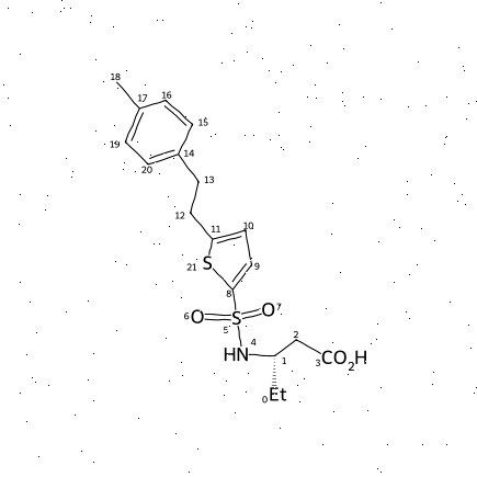 CC[C@@H](CC(=O)O)NS(=O)(=O)c1ccc(CCc2ccc(C)cc2)s1